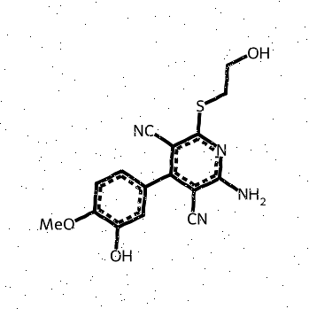 COc1ccc(-c2c(C#N)c(N)nc(SCCO)c2C#N)cc1O